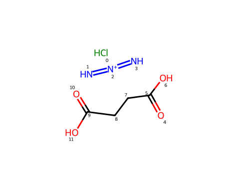 Cl.N=[N+]=N.O=C(O)CCC(=O)O